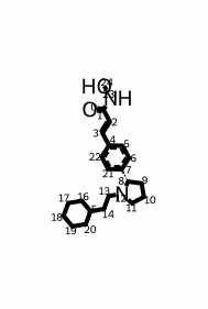 O=C(C=Cc1ccc([C@@H]2CCCN2CCC2CCCCC2)cc1)NO